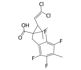 Cc1c(F)c(F)c(CC2(C(=O)O)C(C=C(Cl)Cl)C2(C)C)c(F)c1F